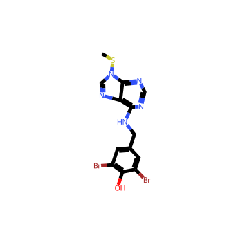 CSn1cnc2c(NCc3cc(Br)c(O)c(Br)c3)ncnc21